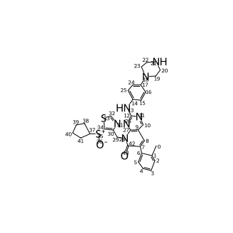 Cc1ccccc1-c1cc2cnc(Nc3ccc(N4CCNCC4)cc3)nc2n(Cc2ncsc2[S+]([O-])C2CCCC2)c1=O